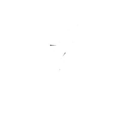 CC(=O)[C@H]1CC[C@H]2[C@@H]3C(Cl)C=C4CC(O)CC[C@]4(C)[C@H]3CC[C@]12C